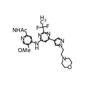 COc1cnc(NC(C)=O)cc1Nc1cc(-c2cnn(CCN3CCOCC3)c2)nc(C(C)(F)F)n1